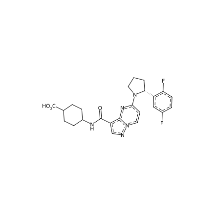 O=C(NC1CCC(C(=O)O)CC1)c1cnn2ccc(N3CCC[C@@H]3c3cc(F)ccc3F)nc12